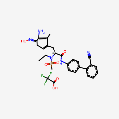 CCN([C@@H](CC1=CCC(=NO)C(N)=C1C)C(=O)Nc1ccc(-c2ccccc2C#N)cc1)S(C)(=O)=O.O=C(O)C(F)(F)F